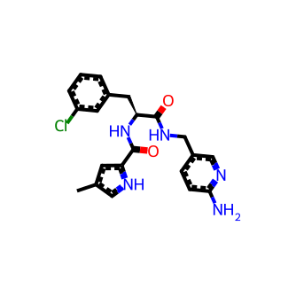 Cc1c[nH]c(C(=O)N[C@@H](Cc2cccc(Cl)c2)C(=O)NCc2ccc(N)nc2)c1